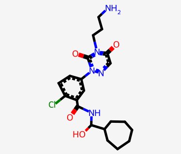 NCCCn1c(=O)cnn(-c2ccc(Cl)c(C(=O)NC(O)C3CCCCCC3)c2)c1=O